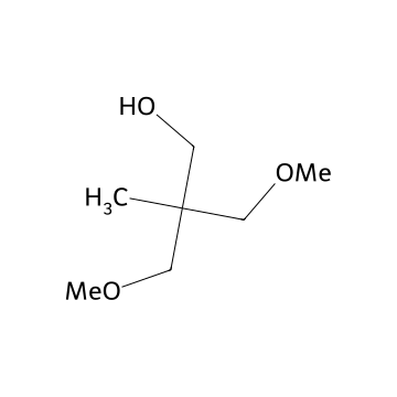 COCC(C)(CO)COC